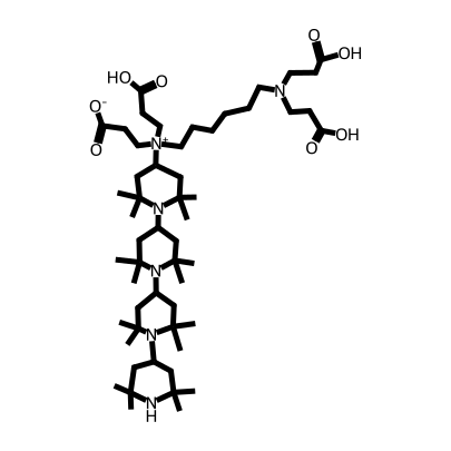 CC1(C)CC(N2C(C)(C)CC(N3C(C)(C)CC(N4C(C)(C)CC([N+](CCCCCCN(CCC(=O)O)CCC(=O)O)(CCC(=O)[O-])CCC(=O)O)CC4(C)C)CC3(C)C)CC2(C)C)CC(C)(C)N1